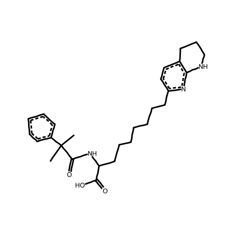 CC(C)(C(=O)NC(CCCCCCCc1ccc2c(n1)NCCC2)C(=O)O)c1ccccc1